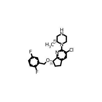 C[C@@H]1CNCCN1c1nc2c(cc1Cl)CC[C@@H]2OCc1cc(F)ccc1F